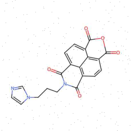 O=C1OC(=O)c2ccc3c4c(ccc1c24)C(=O)N(CCCn1ccnc1)C3=O